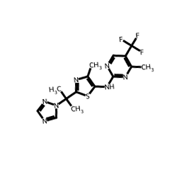 Cc1nc(Nc2sc(C(C)(C)n3cncn3)nc2C)ncc1C(F)(F)F